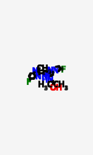 Cc1nc2ccc(F)cc2nc1-c1cc2nc(N3CC[C@H](F)C3)cc(NCC(C)(C)O)n2n1